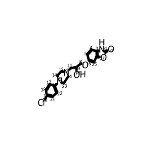 O=c1[nH]c2ccc(OCC(O)CN3CCN(c4ccc(Cl)cc4)CC3)cc2o1